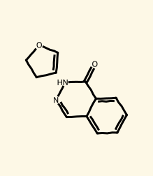 C1=COCC1.O=c1[nH]ncc2ccccc12